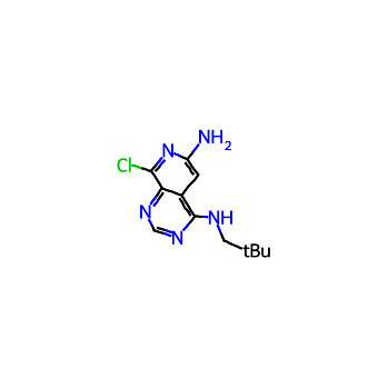 CC(C)(C)CNc1ncnc2c(Cl)nc(N)cc12